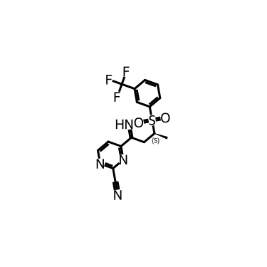 C[C@@H](CC(=N)c1ccnc(C#N)n1)S(=O)(=O)c1cccc(C(F)(F)F)c1